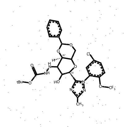 Cc1nc([C@@H]2OC3COC(c4ccccc4)O[C@@H]3C(NNC(=O)OC(C)(C)C)C2O)n(-c2cc(Cl)ccc2OC(F)(F)F)n1